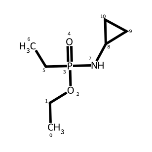 CCOP(=O)(CC)NC1CC1